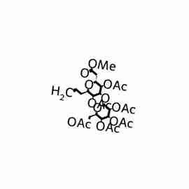 C=CC[C@H]1O[C@H](CC(=O)OC)[C@@H](OC(C)=O)[C@@H](O[C@H]2O[C@H](COC(C)=O)[C@@H](OC(C)=O)[C@@H](OC(C)=O)[C@H]2OC(C)=O)[C@@H]1OC(C)=O